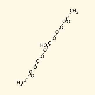 CCCCCC(=O)OCCOCCOCCOCCOCC(O)COCCOCCOCCOCCOC(=O)CCCCC